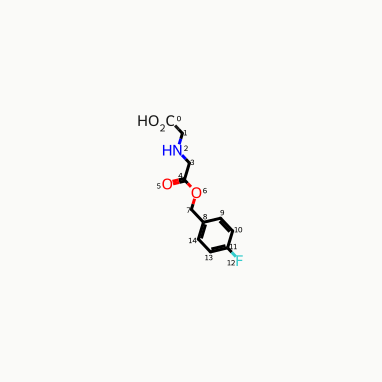 O=C(O)CNCC(=O)OCc1ccc(F)cc1